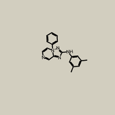 Cc1cc(C)cc(NC2=N[N+]3(c4ccccc4)C=CN=CC3=N2)c1